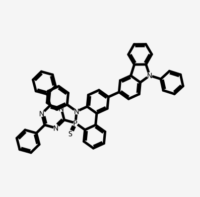 S=P1(c2nc(-c3ccccc3)nc(-c3ccccc3)n2)c2ccccc2-c2cc(-c3ccc4c(c3)c3ccccc3n4-c3ccccc3)ccc2N1c1ccccc1